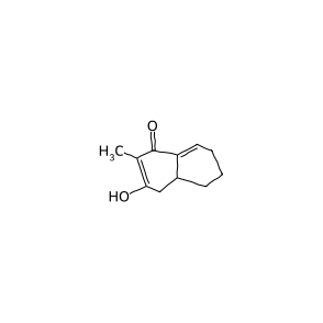 CC1=C(O)CC2CCCC=C2C1=O